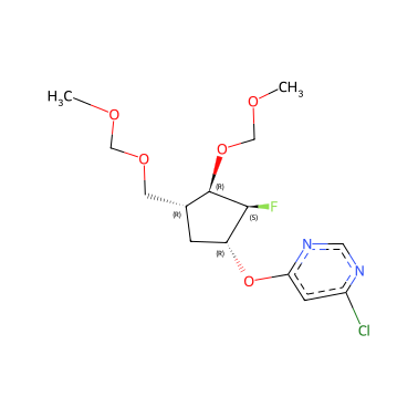 COCOC[C@H]1C[C@@H](Oc2cc(Cl)ncn2)[C@H](F)[C@@H]1OCOC